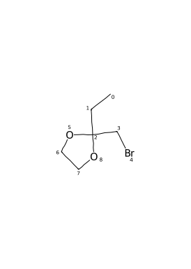 CCC1(CBr)OCCO1